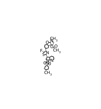 CC(=O)OC1(c2cccc(-c3nc(-c4cn(S(=O)(=O)c5ccc(C)cc5)c5ncccc45)sc3F)c2)CCN(C)C1=O